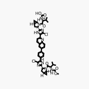 COC(=O)N[C@H](C(=O)N1[C@@H]2C[C@H]2C[C@H]1c1nc(Cl)c(-c2ccc(-c3ccc4nc(-c5[nH]c([C@@H]6C[C@H]7C[C@H]7N6C(=O)[C@@H](NC(=O)O)C(C)C)nc5Cl)ccc4c3)cc2)[nH]1)C(C)C